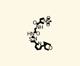 CS(=O)(=O)n1ccc(C(=O)NCC(=O)Nc2nc(-c3cccc(C45CCOCC4C5)n3)cs2)c1